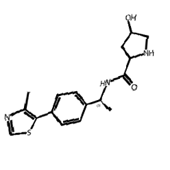 Cc1ncsc1-c1ccc([C@H](C)NC(=O)C2CC(O)CN2)cc1